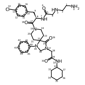 NCCNCC(=O)N[C@H](Cc1ccc(Cl)cc1)C(=O)N1CCC2(CC1)C(=O)N(CC(=O)NC1CCCCC1)CN2c1ccccc1